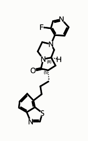 O=C1[C@@H](CCCc2cccc3ncsc23)C[C@@H]2CN(c3ccncc3F)CCN12